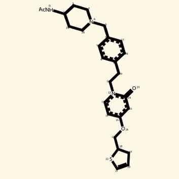 CC(=O)NC1CCN(Cc2ccc(CCn3ccc(OCC4CC=CS4)cc3=O)cc2)CC1